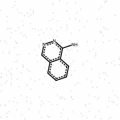 [NH]c1nncc2ccccc12